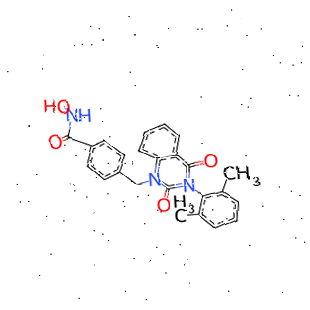 Cc1cccc(C)c1-n1c(=O)c2ccccc2n(Cc2ccc(C(=O)NO)cc2)c1=O